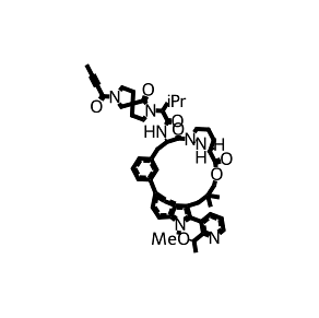 CC#CC(=O)N1CCC2(CCN(C(C(=O)N[C@H]3Cc4cccc(c4)-c4ccc5c(c4)c(c(-c4cccnc4[C@H](C)OC)n5C)CC(C)(C)COC(=O)[C@@H]4CCCN(N4)C3=O)C(C)C)C2=O)C1